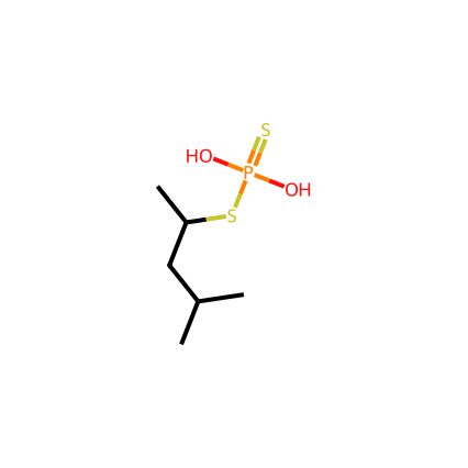 CC(C)CC(C)SP(O)(O)=S